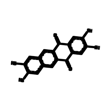 O=C1c2cc(S)c(S)cc2C(=O)c2cc3cc(S)c(S)cc3cc21